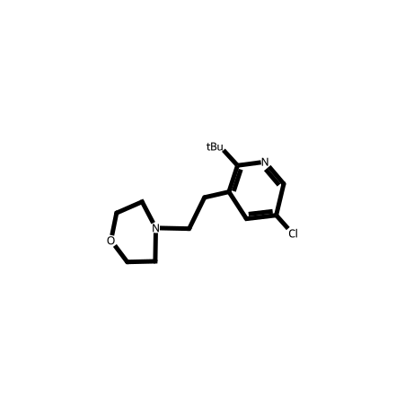 CC(C)(C)c1ncc(Cl)cc1CCN1CCOCC1